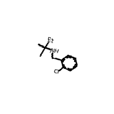 CCC(C)(C)NCc1ccccc1Cl